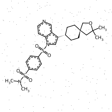 CN(C)S(=O)(=O)c1ccc(S(=O)(=O)n2cc([C@H]3CC[C@@]4(CC3)COC(C)(C)C4)c3cnccc32)cc1